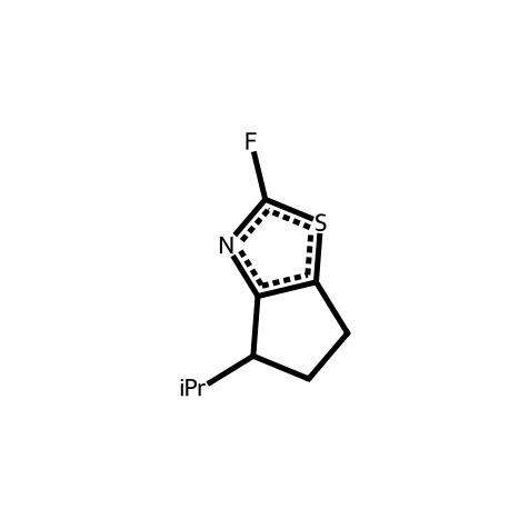 CC(C)C1CCc2sc(F)nc21